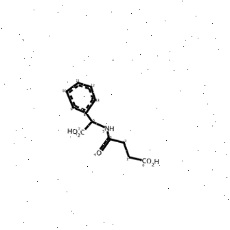 O=C(O)CCC(=O)NC(C(=O)O)c1ccccc1